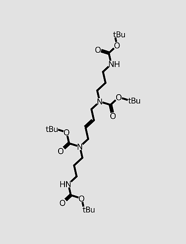 CC(C)(C)OC(=O)NCCCN(CC=CCN(CCCNC(=O)OC(C)(C)C)C(=O)OC(C)(C)C)C(=O)OC(C)(C)C